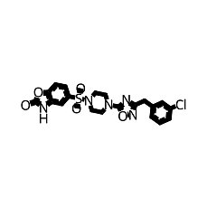 O=c1[nH]c2cc(S(=O)(=O)N3CCN(c4nc(Cc5cccc(Cl)c5)no4)CC3)ccc2o1